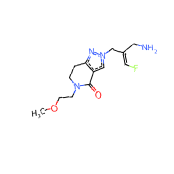 COCCN1CCc2nn(CC(=CF)CN)cc2C1=O